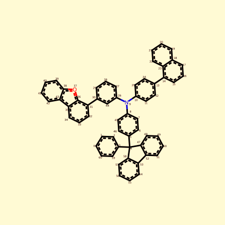 c1ccc(C2(c3ccc(N(c4ccc(-c5cccc6ccccc56)cc4)c4cccc(-c5cccc6c5oc5ccccc56)c4)cc3)c3ccccc3-c3ccccc32)cc1